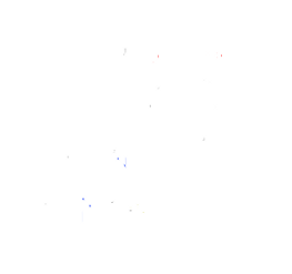 COc1ccc(-c2csc(NC(C)C)n2)cc1OC